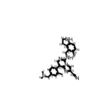 Cc1cc(CN(C)C)ccc1-c1cnc(NCc2c(F)ccc3c2CCN3)n2cc(C#N)nc12